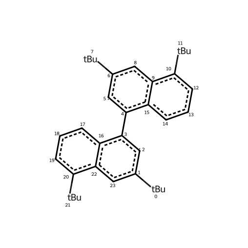 CC(C)(C)c1[c]c(-c2[c]c(C(C)(C)C)cc3c(C(C)(C)C)cccc23)c2cccc(C(C)(C)C)c2c1